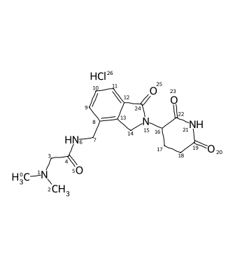 CN(C)CC(=O)NCc1cccc2c1CN(C1CCC(=O)NC1=O)C2=O.Cl